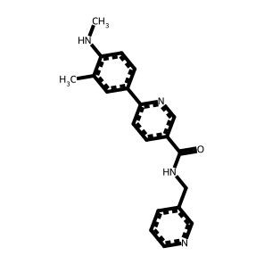 CNc1ccc(-c2ccc(C(=O)NCc3cccnc3)cn2)cc1C